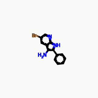 Nc1c(-c2ccccc2)[nH]c2ncc(Br)cc12